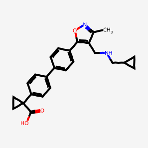 Cc1noc(-c2ccc(-c3ccc(C4(C(=O)O)CC4)cc3)cc2)c1CNCC1CC1